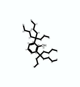 CCCCC(CCC)(CCCC)c1cccc(C(CCC)(CCCC)CCCC)c1O